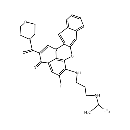 CC(C)NCCCNc1c(F)cc2c(=O)c(C(=O)N3CCOCC3)cn3c2c1Oc1cc2ccccc2cc1-3